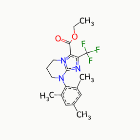 CCOC(=O)c1c(C(F)(F)F)nc2n1CCCN2c1c(C)cc(C)cc1C